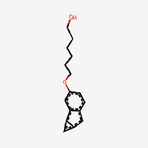 OCCCCCCOc1ccc2cc3cc-3c2c1